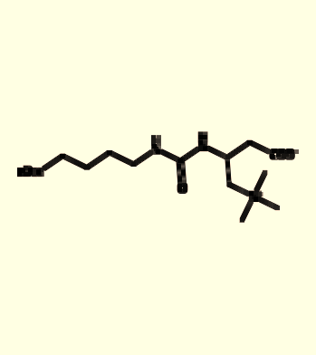 CCCCCCCCCCCCCCNC(=O)NC(CC(=O)[O-])C[N+](C)(C)C